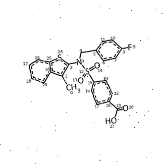 Cc1c(N(Cc2ccc(F)cc2)S(=O)(=O)c2ccc(C(=O)O)cc2)sc2ccccc12